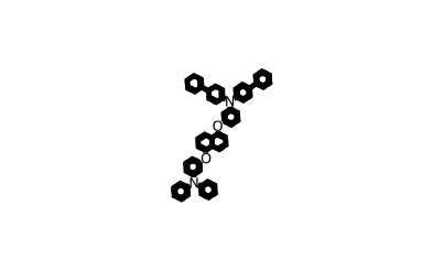 C1=CC2C(Oc3cccc(N(C4=CCC(C5=CCCC=C5)C=C4)c4ccc(-c5ccccc5)cc4)c3)=CC=CC2C(Oc2cccc(N(c3ccccc3)c3ccccc3)c2)=C1